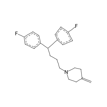 C=C1CCN(CCCC(c2ccc(F)cc2)c2ccc(F)cc2)CC1